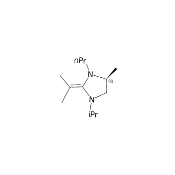 CCCN1C(=C(C)C)N(C(C)C)C[C@@H]1C